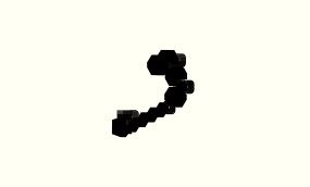 O=C(c1ccc(OCCCCCCC(O)CN2CCCC2)cc1)N1CCC(N2C(=O)CCc3ccccc32)CC1